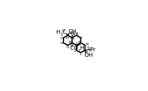 CC(C)[C@@]1(O)CCC2=C(CC[C@H]3C(C)(C)CCC[C@]23C(=O)O)C1